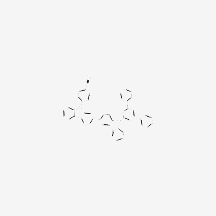 N#Cc1ccc(-n2c3ccccc3c3ccc(-c4ccc5c(c4)c4ccccc4n5-c4cc(-c5ccccc5)cc(-c5ccccc5)n4)cc32)cc1